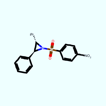 CC(C)[C@H]1[C@H](c2ccccc2)N1S(=O)(=O)c1ccc([N+](=O)[O-])cc1